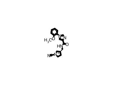 COc1ccccc1-n1cnc(C(=O)NC[C@H]2CCN(C#N)C2)c1